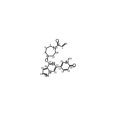 C=CC(=O)N1CCCC(Oc2nc(-c3ccc(=O)n(C)c3)cn3nccc23)CC1